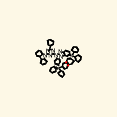 c1ccc(-c2nc(-n3c4ccccc4c4ccccc43)nc(-n3c4ccc([Si](c5ccccc5)(c5ccccc5)c5ccccc5)cc4n4c5cc([Si](c6ccccc6)(c6ccccc6)c6ccccc6)ccc5nc34)n2)cc1